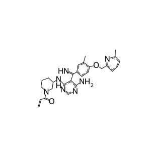 C=CC(=O)N1CCCC(Nc2ncnc(N)c2C(=N)c2ccc(OCc3cccc(C)n3)c(C)c2)C1